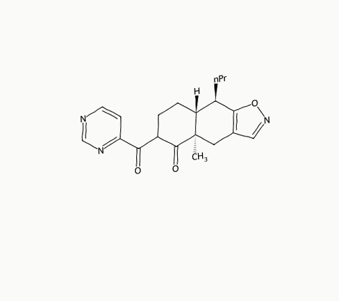 CCC[C@H]1c2oncc2C[C@@]2(C)C(=O)C(C(=O)c3ccncn3)CC[C@H]12